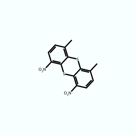 Cc1ccc([N+](=O)[O-])c2c1Sc1c(C)ccc([N+](=O)[O-])c1S2